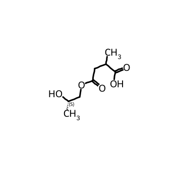 CC(CC(=O)OC[C@H](C)O)C(=O)O